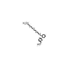 COCCOCCOCCOCCOC[C@H]1CCCC[C@@H]1c1nccc(CO)n1